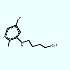 Cc1ncc(Br)cc1NCCCCO